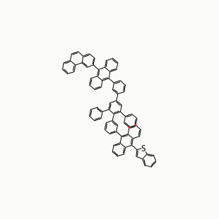 c1ccc(-c2cc(-c3cccc(-c4c5ccccc5c(-c5ccc6ccc7ccccc7c6c5)c5ccccc45)c3)cc(-c3ccccc3)c2-c2cccc(-c3c4ccccc4c(-c4cc5ccccc5s4)c4ccccc34)c2)cc1